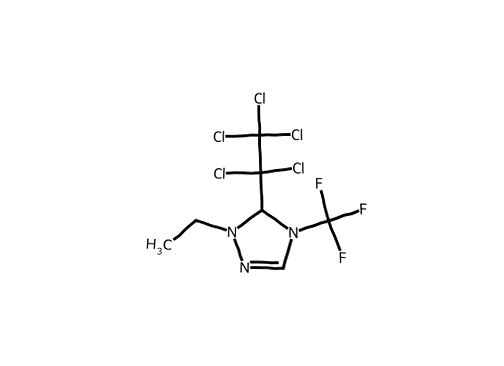 CCN1N=CN(C(F)(F)F)C1C(Cl)(Cl)C(Cl)(Cl)Cl